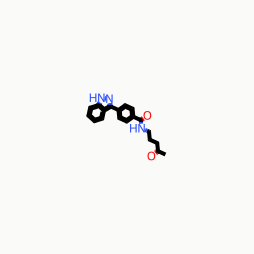 CC(=O)CCCNC(=O)c1ccc(-c2n[nH]c3ccccc23)cc1